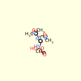 Cc1cc(-c2nc3cc(CNC(C(=O)O[C@@H]4CCOC4)C(C)O)ccc3n2CC2CN(C)CCO2)cn(C)c1=O